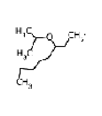 [CH2]CC(CCCCC)OC(C)C